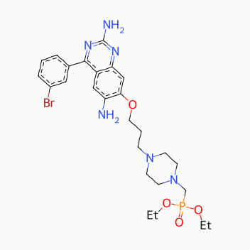 CCOP(=O)(CN1CCN(CCCOc2cc3nc(N)nc(-c4cccc(Br)c4)c3cc2N)CC1)OCC